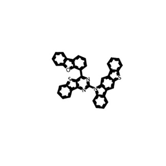 c1ccc2c(c1)oc1c(-c3nc(-n4c5ccccc5c5cc6sc7ccccc7c6cc54)nc4c3sc3ccccc34)cccc12